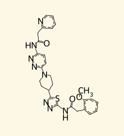 COc1ccccc1CC(=O)Nc1nnc(C2CCN(c3ccc(NC(=O)Cc4ccccn4)nn3)CC2)s1